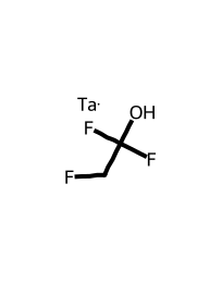 OC(F)(F)CF.[Ta]